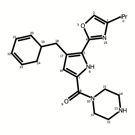 CC(C)c1coc(-c2[nH]c(C(=O)N3CCNCC3)cc2CC2C=CC=CC2)n1